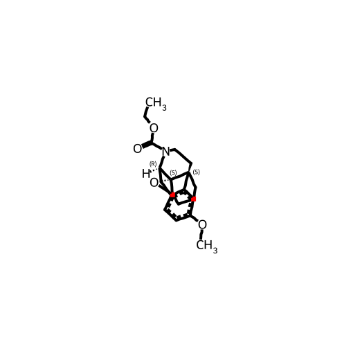 CCOC(=O)N1CC[C@]23CCCC4O[C@@]42[C@H]1Cc1ccc(OC)cc13